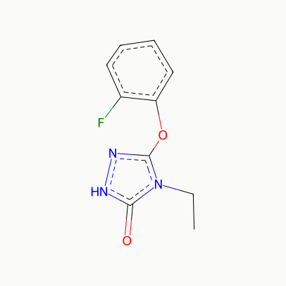 CCn1c(Oc2ccccc2F)n[nH]c1=O